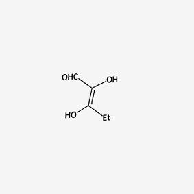 CCC(O)=C(O)C=O